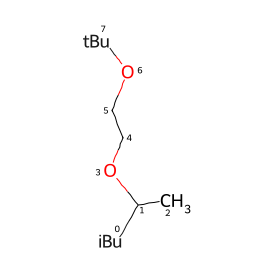 CCC(C)C(C)OCCOC(C)(C)C